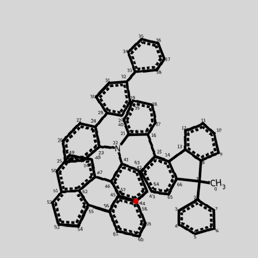 CC1(c2ccccc2)c2ccccc2-c2c(-c3ccccc3N(c3ccccc3-c3ccc(-c4ccccc4)cc3)c3ccccc3-c3cccc4cccc(-c5ccccc5)c34)cccc21